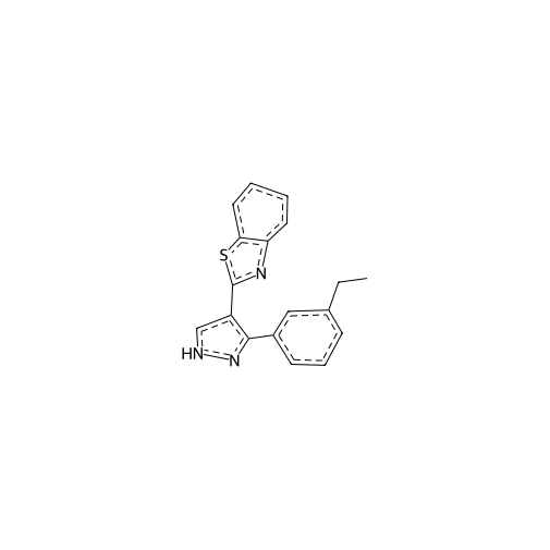 CCc1cccc(-c2n[nH]cc2-c2nc3ccccc3s2)c1